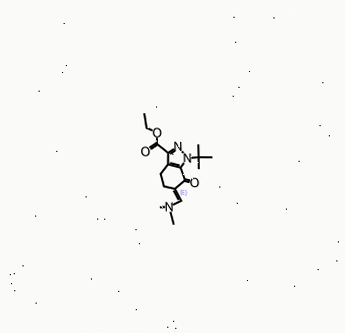 CCOC(=O)c1nn(C(C)(C)C)c2c1CC/C(=C\N(C)C)C2=O